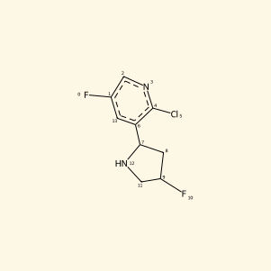 Fc1cnc(Cl)c(C2CC(F)CN2)c1